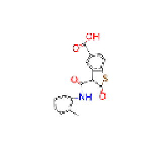 Cc1ccccc1NC(=O)C1C(=O)Sc2ccc(C(=O)O)cc21